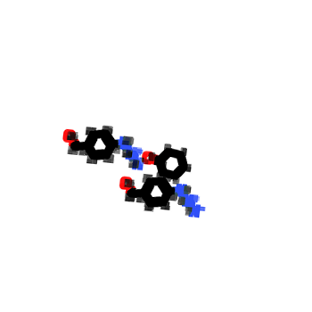 O=C1CCCCC1.[N-]=[N+]=Nc1ccc(C=O)cc1.[N-]=[N+]=Nc1ccc(C=O)cc1